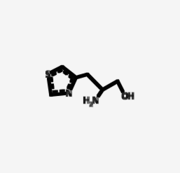 NC(CO)Cc1cscn1